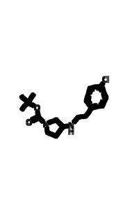 CC(C)(C)OC(=O)N1CCC(NCCc2ccc(Cl)cc2)C1